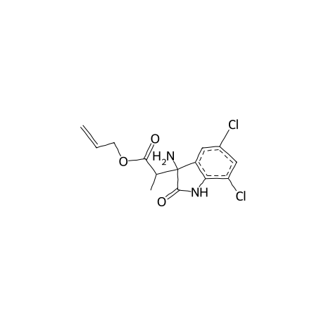 C=CCOC(=O)C(C)C1(N)C(=O)Nc2c(Cl)cc(Cl)cc21